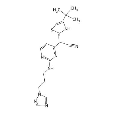 CC(C)(C)C1=CS/C(=C(/C#N)c2ccnc(NCCCn3cncn3)n2)N1